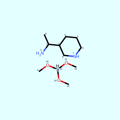 CC(N)C1CCCNC1.CO[SiH](OC)OC